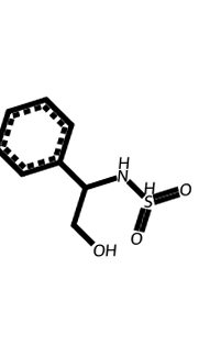 O=[SH](=O)NC(CO)c1ccccc1